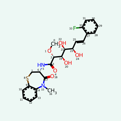 CO[C@@H](C(=O)N[C@H]1CSc2ccccc2N(C)C1=O)[C@H](O)[C@@H](O)[C@H](O)C=Cc1ccccc1F